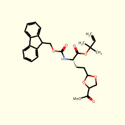 C=CC(C)(C)OC(=O)[C@H](CCC1OCC(C(=O)OC)O1)NC(=O)OCC1c2ccccc2-c2ccccc21